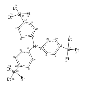 CC[Si](CC)(CC)c1ccc(N(c2ccc([Si](CC)(CC)CC)cc2)c2ccc([Si](CC)(CC)CC)cc2)cc1